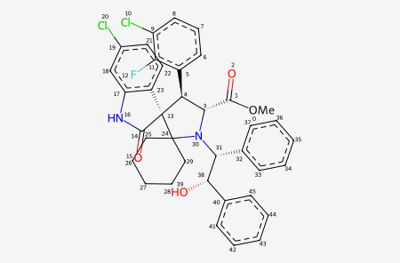 COC(=O)[C@H]1[C@H](c2cccc(Cl)c2F)[C@]2(C(=O)Nc3cc(Cl)ccc32)C2(CCCCC2)N1[C@H](c1ccccc1)[C@@H](O)c1ccccc1